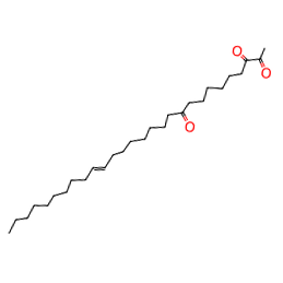 CCCCCCCCCC=CCCCCCCCC(=O)CCCCCCC(=O)C(C)=O